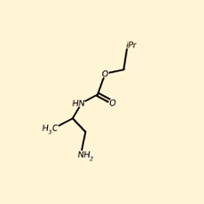 CC(C)COC(=O)NC(C)CN